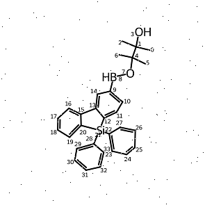 CC(C)(O)C(C)(C)OBc1ccc2c(c1)-c1ccccc1[Si]2(c1ccccc1)c1ccccc1